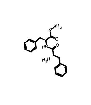 BSC(=O)[C@H](Cc1ccccc1)NC(=O)[C@@H](N)Cc1ccccc1